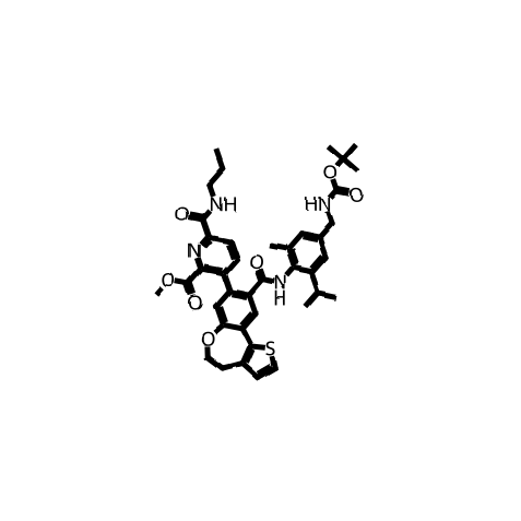 CCCNC(=O)c1ccc(-c2cc3c(cc2C(=O)Nc2c(C)cc(CNC(=O)OC(C)(C)C)cc2C(C)C)-c2sccc2CCO3)c(C(=O)OC)n1